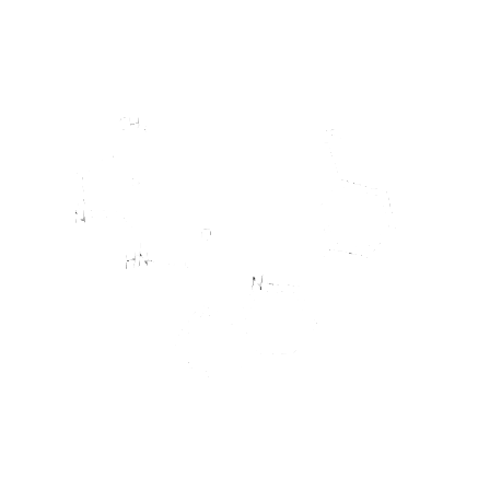 Cc1cnc(NC(=O)c2cccc3ccc(-c4cccc(C(F)(F)F)c4)nc23)s1